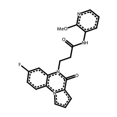 COc1ncccc1NC(=O)CCn1c(=O)c2cccn2c2ccc(F)cc21